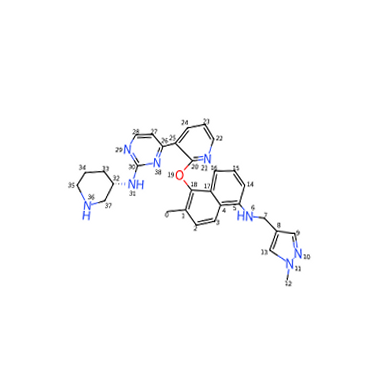 Cc1ccc2c(NCc3cnn(C)c3)cccc2c1Oc1ncccc1-c1ccnc(N[C@H]2CCCNC2)n1